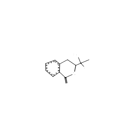 CC(C)(C)C1Cc2ccccc2C(=O)N1